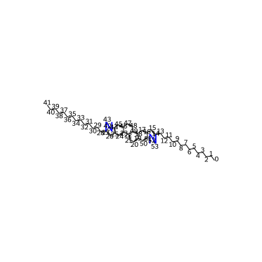 CCCCCCCCCCCCCCc1cc2cc3c(ccc4c5cc6cc(CCCCCCCCCCCCCC)n(C)c6cc5ccc34)cc2n1C